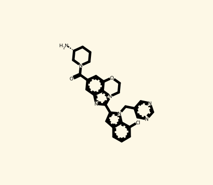 N[C@@H]1CCCN(C(=O)c2cc3c4c(c2)nc(-c2cc5cccc(Cl)c5n2Cc2cncnc2)n4CCO3)C1